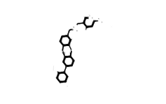 Cc1ccc(F)c(-c2ccc3c(c2)C2OC3c3cc(C(=O)NCc4c(C)cc(N)nc4C)ccc32)c1